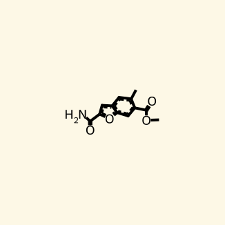 COC(=O)c1cc2oc(C(N)=O)cc2cc1C